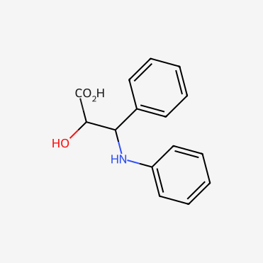 O=C(O)C(O)C(Nc1ccccc1)c1ccccc1